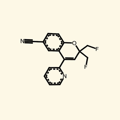 N#Cc1ccc2c(c1)C(c1ccccn1)=CC(CF)(CF)O2